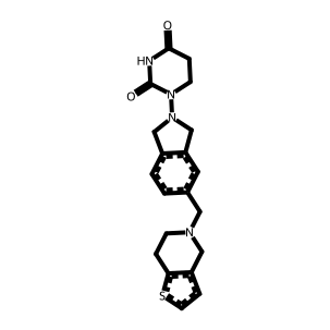 O=C1CCN(N2Cc3ccc(CN4CCc5sccc5C4)cc3C2)C(=O)N1